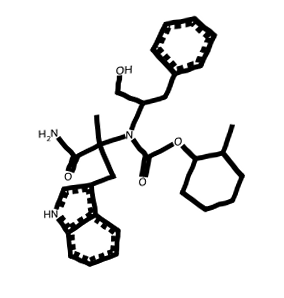 CC1CCCCC1OC(=O)N(C(CO)Cc1ccccc1)C(C)(Cc1c[nH]c2ccccc12)C(N)=O